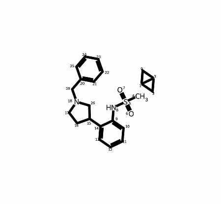 C1C2CC12.CS(=O)(=O)Nc1ccccc1C1CCN(Cc2ccccc2)C1